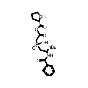 CCCCC(CP(=O)(O)CC(=O)OC(=O)[C@@H]1CCCN1)NC(=O)c1ccccc1